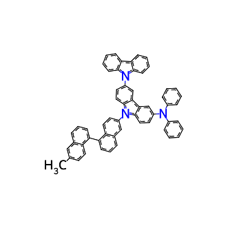 Cc1ccc2c(-c3cccc4cc(-n5c6ccc(N(c7ccccc7)c7ccccc7)cc6c6cc(-n7c8ccccc8c8ccccc87)ccc65)ccc34)cccc2c1